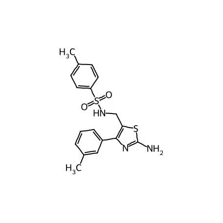 Cc1ccc(S(=O)(=O)NCc2sc(N)nc2-c2cccc(C)c2)cc1